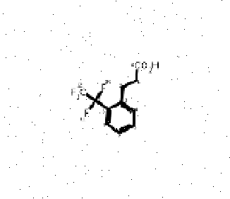 O=C(O)CCc1ccccc1C(F)(F)C(F)(F)F